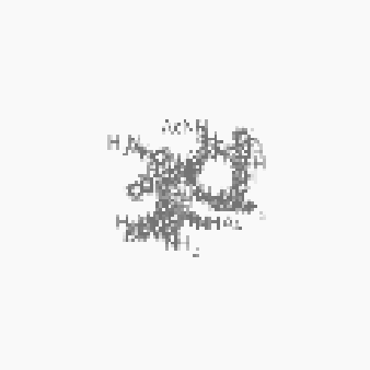 CC(=O)NCCCC[C@@H]1NC(=O)[C@H](Cc2c[nH]c3c(C)cccc23)NC(=O)[C@H]([C@@H](C)O)NC(=O)[C@H](CC(N)=O)NC(=O)[C@@H](NC(C)=O)C(C)(C)SSC(C)(C)[C@@H](C(=O)N[C@@H](Cc2ccc(OCCN)cc2)C(=O)N[C@@H](Cc2ccc3ccccc3c2)C(=O)N[C@@](C)(CCCCN)C(=O)N[C@@H](CCCCNC(C)=O)C(=O)N[C@@H](CC(N)=O)C(=O)N[C@@H](Cc2cnc[nH]2)C(N)=O)NC1=O